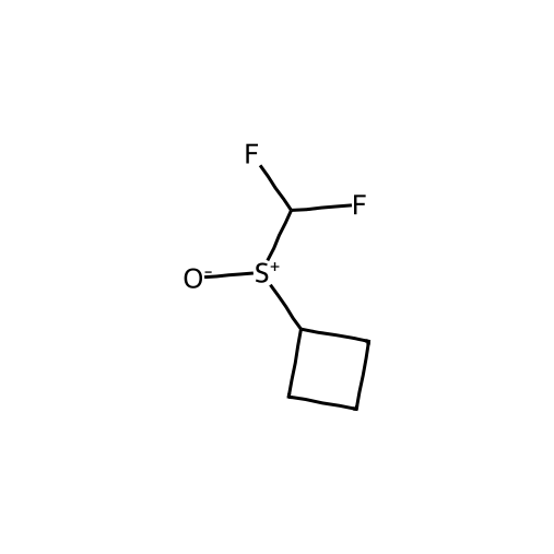 [O-][S+](C(F)F)C1CCC1